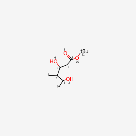 CC(O)C(C)C(O)CC(=O)OC(C)(C)C